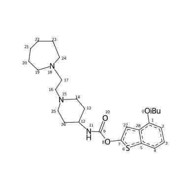 CC(C)COc1cccc2sc(OC(=O)NC3CCN(CCN4CCCCCC4)CC3)cc12